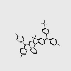 Cc1ccc(N(c2ccc([Si](C)(C)C)cc2)c2ccc3c(c2)C(C)(C)c2cc(N(c4ccc(C)cc4)c4ccc(C)cc4)c4ccccc4c2-3)cc1